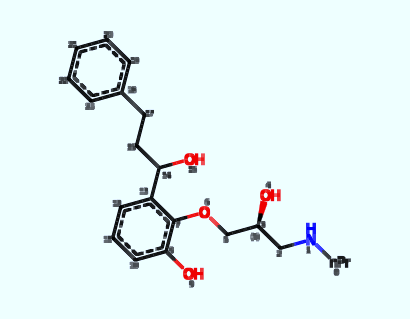 CCCNC[C@H](O)COc1c(O)cccc1C(O)CCc1ccccc1